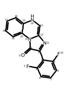 O=c1c(-c2c(F)cccc2F)nc2c[nH]c3ccccc3n1-2